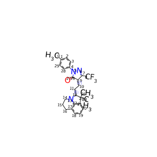 Cc1ccc(N2N=C(C(F)(F)F)/C(=C/C=C3/N4CCCc5cccc(c54)C3(C)C)C2=O)cc1